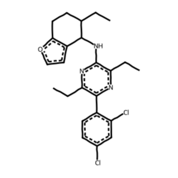 CCc1nc(-c2ccc(Cl)cc2Cl)c(CC)nc1NC1c2ccoc2CCC1CC